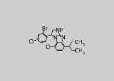 CCC(CC)c1ccc(Cl)c2c1nc1n2C(c2ccc(Cl)cc2Br)CN1